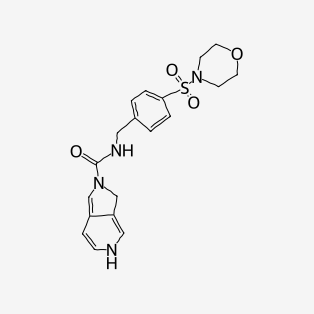 O=C(NCc1ccc(S(=O)(=O)N2CCOCC2)cc1)N1C=C2C=CNC=C2C1